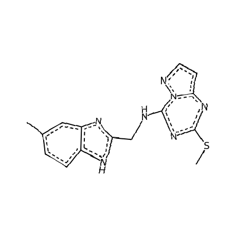 CSc1nc(NCc2nc3cc(C)ccc3[nH]2)n2nccc2n1